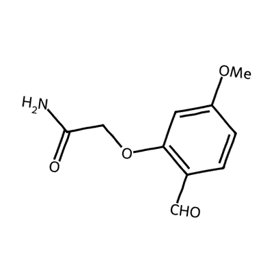 COc1ccc(C=O)c(OCC(N)=O)c1